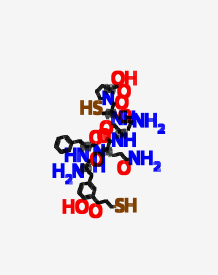 NC(=O)CC[C@H](NC(=O)[C@H](Cc1ccccc1)NC(=O)[C@@H](N)Cc1ccc(O)c(C(=O)CCS)c1)C(=O)N[C@@H](CC(N)=O)C(=O)N[C@@H](CS)C(=O)N1CCC[C@H]1C(=O)O